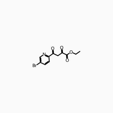 CCOC(=O)C(=O)CC(=O)c1ccc(Br)cn1